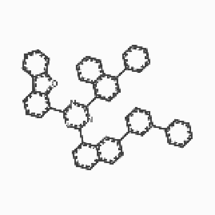 c1ccc(-c2cccc(-c3ccc4cccc(-c5nc(-c6ccc(-c7ccccc7)c7ccccc67)nc(-c6cccc7c6oc6ccccc67)n5)c4c3)c2)cc1